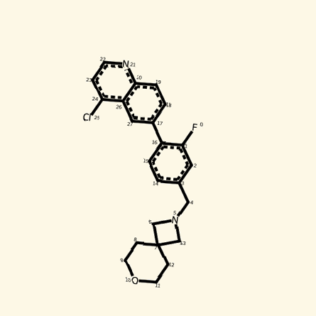 Fc1cc(CN2CC3(CCOCC3)C2)ccc1-c1ccc2nccc(Cl)c2c1